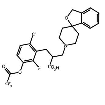 O=C(O)C(Cc1c(Cl)ccc(OC(=O)C(F)(F)F)c1F)CN1CCC2(CC1)OCc1ccccc12